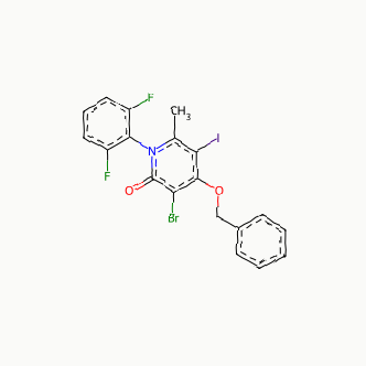 Cc1c(I)c(OCc2ccccc2)c(Br)c(=O)n1-c1c(F)cccc1F